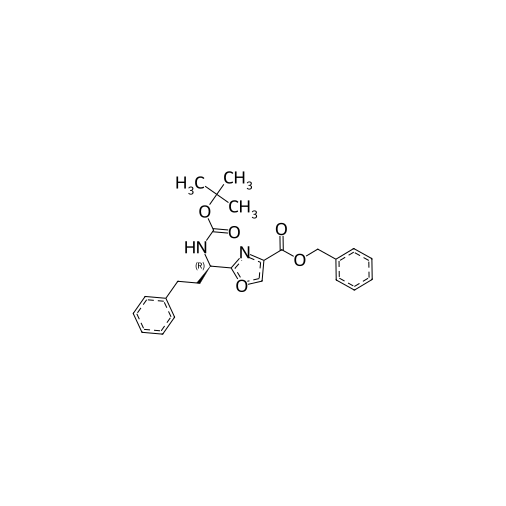 CC(C)(C)OC(=O)N[C@H](CCc1ccccc1)c1nc(C(=O)OCc2ccccc2)co1